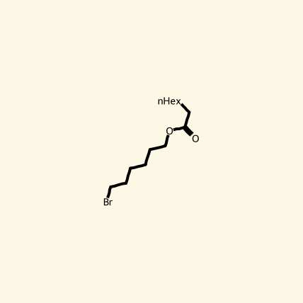 CCCCCCCC(=O)OCCCCCCBr